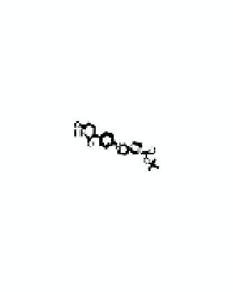 CC(C)(C)OC(=O)N1CC[C@@]2(CCN(c3ccc(C4CCC(=O)NC4=O)cc3)C2)C1